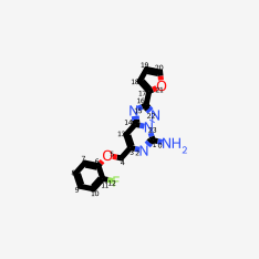 Nc1nc(COc2ccccc2F)cc2nc(-c3ccco3)nn12